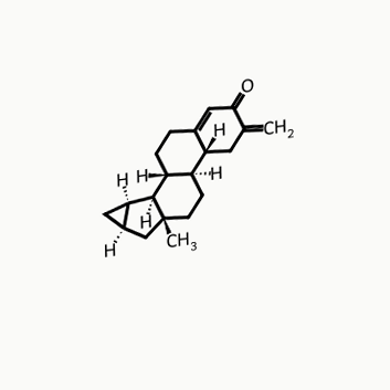 C=C1C[C@H]2C(=CC1=O)CC[C@@H]1[C@@H]2CC[C@]2(C)C[C@H]3C[C@H]3[C@@H]12